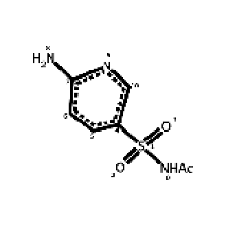 CC(=O)NS(=O)(=O)c1ccc(N)nc1